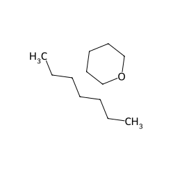 C1CCOCC1.CCCCCCC